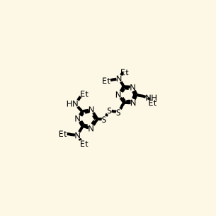 CCNc1nc(SSSc2nc(NCC)nc(N(CC)CC)n2)nc(N(CC)CC)n1